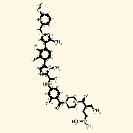 CCC(CCN(C)C)C(=O)N1CCN(C(=O)c2ccc(NC(=O)c3ncc(-c4ccc(-c5cn(Cc6cccc(OC)n6)nc5C)c(F)c4F)n3C)cc2Cl)CC1